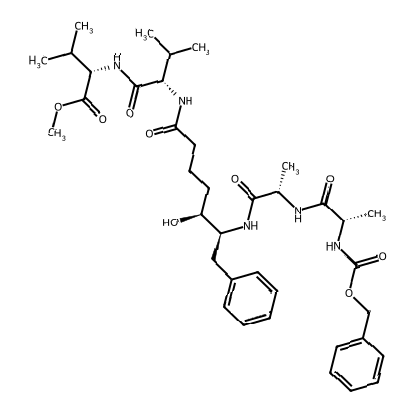 COC(=O)[C@@H](NC(=O)[C@@H](NC(=O)CCC[C@H](O)[C@H](Cc1ccccc1)NC(=O)[C@H](C)NC(=O)[C@H](C)NC(=O)OCc1ccccc1)C(C)C)C(C)C